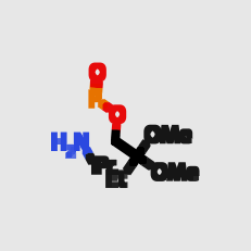 CC(C)N.CCC(COP=O)(OC)OC